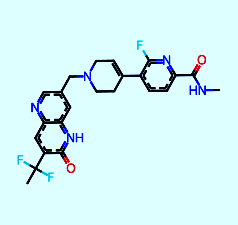 CNC(=O)c1ccc(C2=CCN(Cc3cnc4cc(C(C)(F)F)c(=O)[nH]c4c3)CC2)c(F)n1